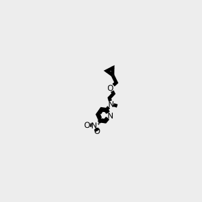 CN(CCOCC1CC1)c1ccc([N+](=O)[O-])cn1